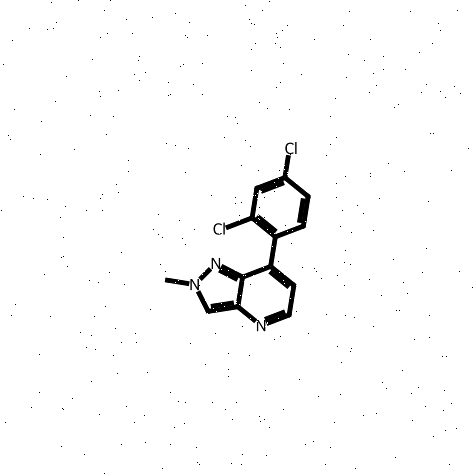 Cn1cc2nccc(-c3ccc(Cl)cc3Cl)c2n1